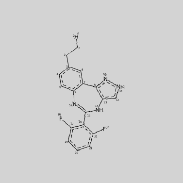 [2H]CCc1ccc2c(c1)-c1n[nH]cc1NC(c1c(F)cccc1F)=N2